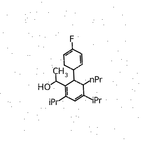 CCCC1C(C(C)C)=CC(C(C)C)=C(C(C)O)C1C1C=CC(F)=CC1